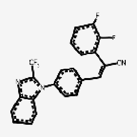 N#C/C(=C/c1ccc(-n2c(C(F)(F)F)nc3ccccc32)cc1)c1cccc(F)c1F